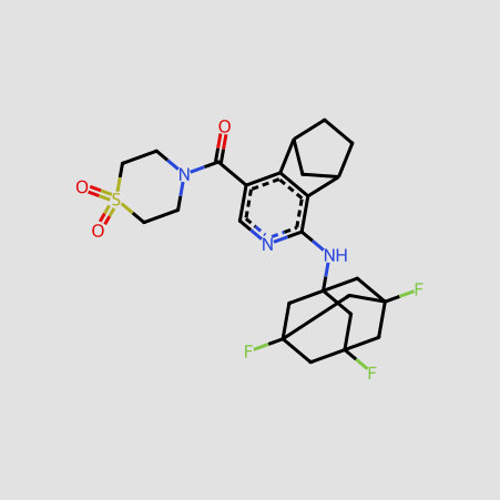 O=C(c1cnc(NC23CC4(F)CC(F)(CC(F)(C4)C2)C3)c2c1C1CCC2C1)N1CCS(=O)(=O)CC1